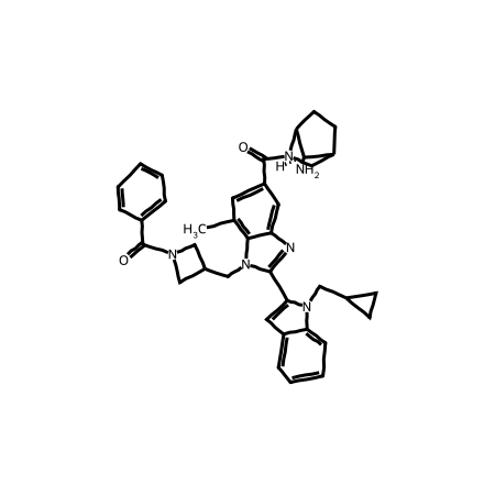 Cc1cc(C(=O)N2CC3CCC2[C@@H]3N)cc2nc(-c3cc4ccccc4n3CC3CC3)n(CC3CN(C(=O)c4ccccc4)C3)c12